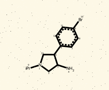 CC(C)N1CC(N)C(c2ccc(Br)cc2)C1